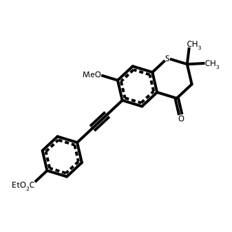 CCOC(=O)c1ccc(C#Cc2cc3c(cc2OC)SC(C)(C)CC3=O)cc1